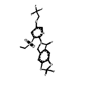 CCS(=O)(=O)c1cc(OCC(F)(F)F)cnc1N1Cc2cc3c(cc2C1=O)OC(F)(F)O3